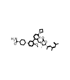 C=C(C)/C=C(C)\C=C(/C)[C@H]1OC(=O)N(Cc2nc(N3CCC3)ccc2-c2cc([C@H]3CC[C@H](C(N)=O)CC3)ccc2OC)[C@H]1C